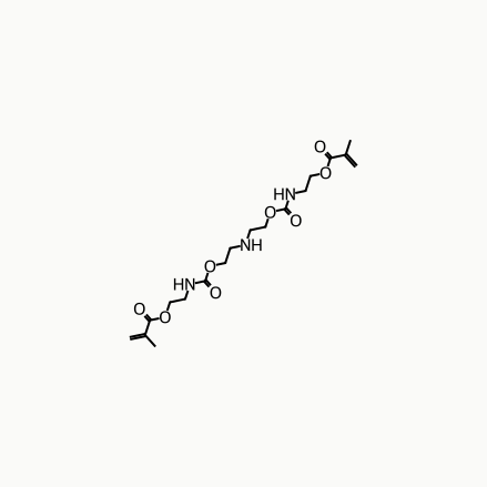 C=C(C)C(=O)OCCNC(=O)OCCNCCOC(=O)NCCOC(=O)C(=C)C